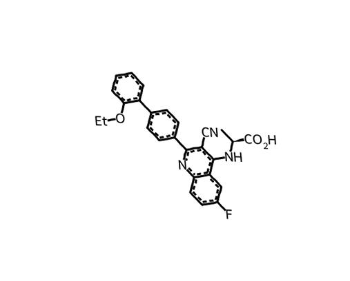 CCOc1ccccc1-c1ccc(-c2nc3ccc(F)cc3c(N[C@@H](C)C(=O)O)c2C#N)cc1